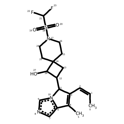 C/C=C\C1=C(C)c2cncn2C1C1CC2(CCN(S(=O)(=O)C(F)F)CC2)C1O